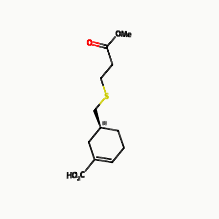 COC(=O)CCSC[C@H]1CCC=C(C(=O)O)C1